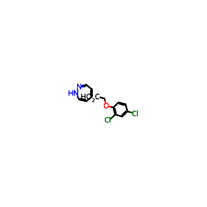 C1=CC=NNC=C1.O=C(O)COc1ccc(Cl)cc1Cl